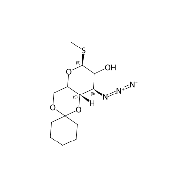 CS[C@@H]1OC2COC3(CCCCC3)O[C@H]2[C@H](N=[N+]=[N-])C1O